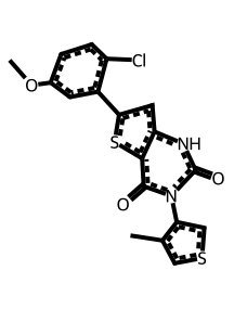 COc1ccc(Cl)c(-c2cc3[nH]c(=O)n(-c4cscc4C)c(=O)c3s2)c1